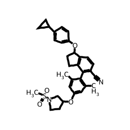 Cc1cc(OC2CCN(S(C)(=O)=O)C2)cc(C)c1-c1c(C#N)ccc2c1CCC2Oc1ccc(C2CC2)cc1